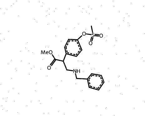 COC(=O)C(CNCc1ccccc1)c1ccc(OS(C)(=O)=O)cc1